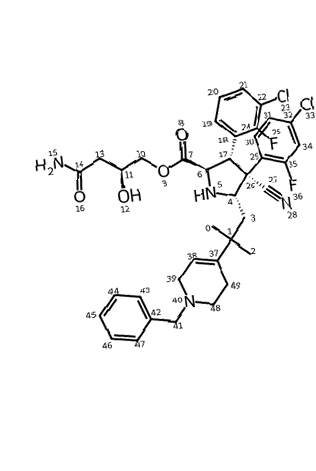 CC(C)(C[C@@H]1N[C@@H](C(=O)OC[C@@H](O)CC(N)=O)[C@H](c2cccc(Cl)c2F)[C@@]1(C#N)c1ccc(Cl)cc1F)C1=CCN(Cc2ccccc2)CC1